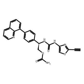 C#Cc1nc(NC(=O)N[C@@H](COC(N)=O)c2ccc(-c3cccc4cccnc34)cc2)cs1